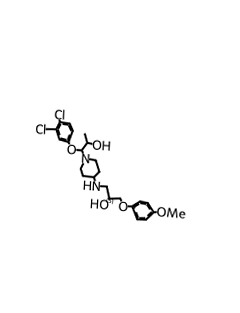 COc1ccc(OC[C@@H](O)CNC2CCN(C(Oc3ccc(Cl)c(Cl)c3)C(C)O)CC2)cc1